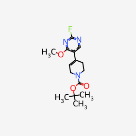 COc1nc(F)ncc1C1=CCN(C(=O)OC(C)(C)C)CC1